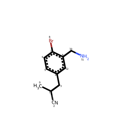 CC(C#N)Cc1ccc(Br)c(CN)c1